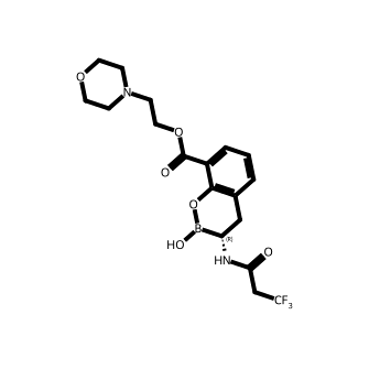 O=C(CC(F)(F)F)N[C@H]1Cc2cccc(C(=O)OCCN3CCOCC3)c2OB1O